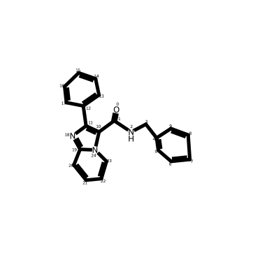 O=C(NCc1ccccc1)c1c(-c2ccccc2)nc2ccccn12